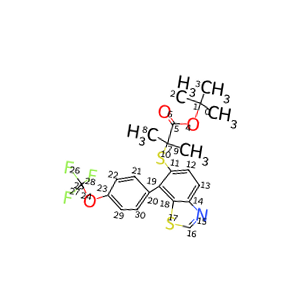 CC(C)(C)OC(=O)C(C)(C)Sc1ccc2ncsc2c1-c1ccc(OC(F)(F)F)cc1